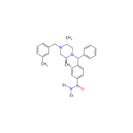 CCN(CC)C(=O)c1ccc(C(c2ccccc2)N2C[C@@H](C)N(Cc3cccc(C)c3)C[C@@H]2C)cc1